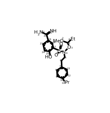 CCC(OC)ON(CCc1ccc(C(C)C)cc1)S(=O)(=O)c1cc(C(=N)N)ccc1O